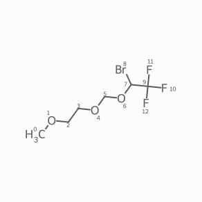 COCCOCOC(Br)C(F)(F)F